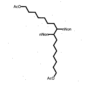 CCCCCCCCCC(CCCCCCCOC(C)=O)C(CCCCCCCCC)CCCCCCCOC(C)=O